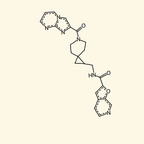 O=C(NCC1CC12CCN(C(=O)c1cn3cccnc3n1)CC2)c1cc2ccncc2o1